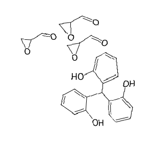 O=CC1CO1.O=CC1CO1.O=CC1CO1.Oc1ccccc1C(c1ccccc1O)c1ccccc1O